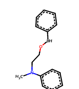 CN(CCOBc1cc[c]cc1)c1ccccc1